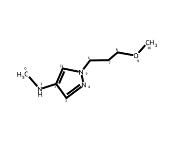 CNc1cnn(CCCOC)c1